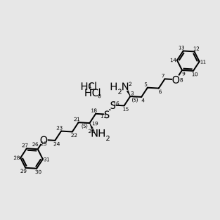 Cl.Cl.N[C@@H](CCCCOc1ccccc1)CSSC[C@@H](N)CCCCOc1ccccc1